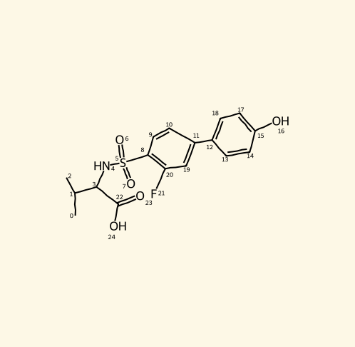 CC(C)C(NS(=O)(=O)c1ccc(-c2ccc(O)cc2)cc1F)C(=O)O